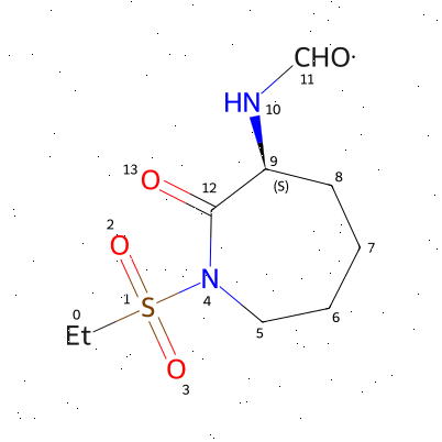 CCS(=O)(=O)N1CCCC[C@H](N[C]=O)C1=O